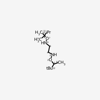 CC(ONCCNOC(C)(C)C(C)C)C(C)(C)C